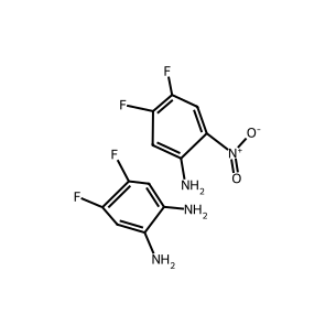 Nc1cc(F)c(F)cc1N.Nc1cc(F)c(F)cc1[N+](=O)[O-]